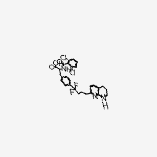 O=C(NC(Cc1ccc(C(F)(F)CCCc2ccc3c(n2)NCCC3)cc1)C(=O)O)c1c(Cl)cccc1Cl